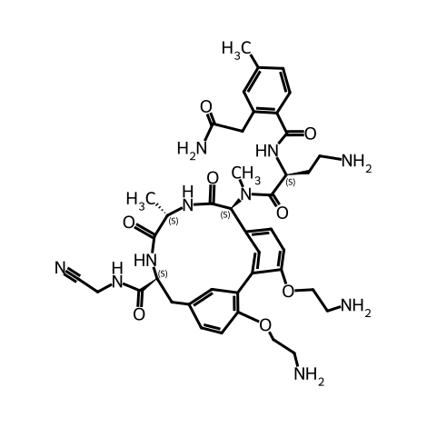 Cc1ccc(C(=O)N[C@@H](CCN)C(=O)N(C)[C@@H]2C(=O)N[C@@H](C)C(=O)N[C@H](C(=O)NCC#N)Cc3ccc(OCCN)c(c3)-c3cc2ccc3OCCN)c(CC(N)=O)c1